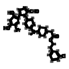 CC(C)c1cc(-c2nnc(C=O)n2-c2ccc(N(C)C3CCN(CC(=O)OCCc4cccc(Cl)c4)CC3)nc2)c(O)cc1O